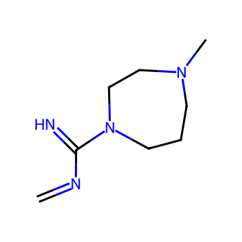 C=NC(=N)N1CCCN(C)CC1